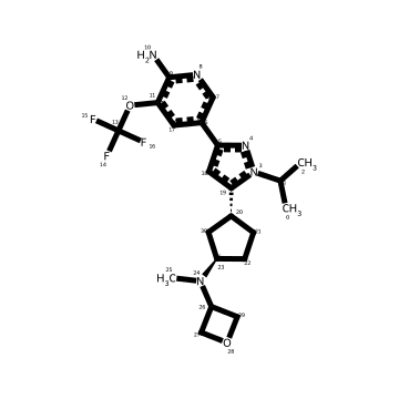 CC(C)n1nc(-c2cnc(N)c(OC(F)(F)F)c2)cc1[C@@H]1CC[C@@H](N(C)C2COC2)C1